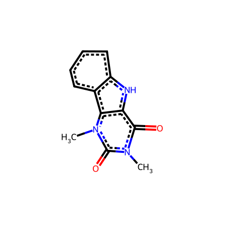 Cn1c(=O)c2[nH]c3ccccc3c2n(C)c1=O